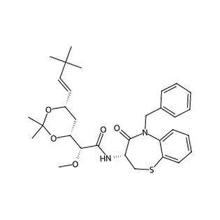 CO[C@@H](C(=O)N[C@H]1CSc2ccccc2N(Cc2ccccc2)C1=O)[C@H]1C[C@@H](/C=C/C(C)(C)C)OC(C)(C)O1